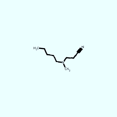 CCCCCN(C)CCC#N